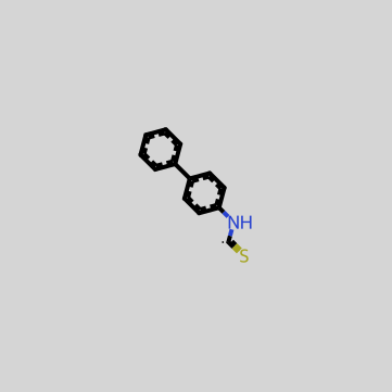 S=[C]Nc1ccc(-c2ccccc2)cc1